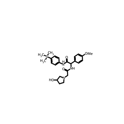 COc1ccc(C(NC(=O)CN2CCC(O)C2)C(=O)Nc2ccc([Si](C)(C)C)cc2)cc1